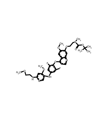 COCCNc1cc(OC)c(Nc2cc(F)c(Oc3ccnc4cc(OCCN(C)C(=O)OC(C)(C)C)c(OC)cc34)c(F)c2)cn1